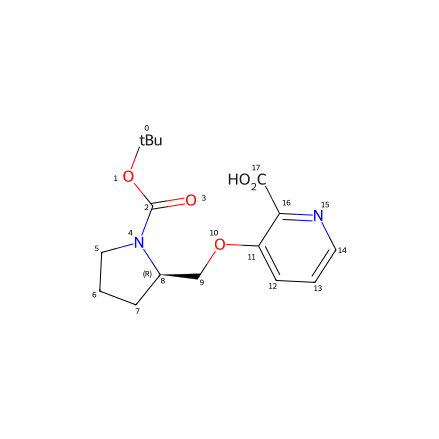 CC(C)(C)OC(=O)N1CCC[C@@H]1COc1cccnc1C(=O)O